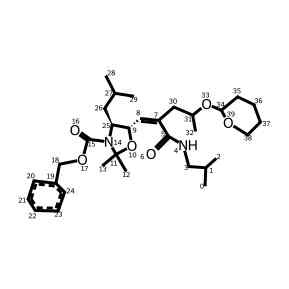 CC(C)CNC(=O)C(=C[C@@H]1OC(C)(C)N(C(=O)OCc2ccccc2)[C@H]1CC(C)C)CC(C)OC1CCCCO1